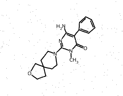 Cn1c(N2CCC3(CCOC3)CC2)nc(N)c(-c2ccccc2)c1=O